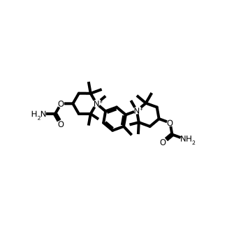 Cc1ccc([N+]2(C)C(C)(C)CC(OC(N)=O)CC2(C)C)cc1[N+]1(C)C(C)(C)CC(OC(N)=O)CC1(C)C